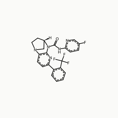 O=C(Nc1ccc(F)cn1)N1c2nc(-c3ccccc3C(F)(F)F)ccc2N2CC[C@H]1C2